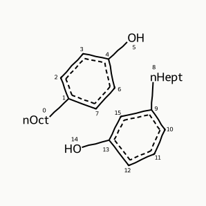 CCCCCCCCc1ccc(O)cc1.CCCCCCCc1cccc(O)c1